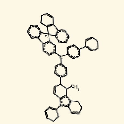 CC1c2c3c(n(C4=CC=CCC4)c2C=CC1c1ccc(N(c2ccc(C4=CCCC=C4)cc2)c2ccc4c(c2)[C@]2(C5=C(C=CCC5)c5ccccc52)c2ccccc2-4)cc1)C=CCC3